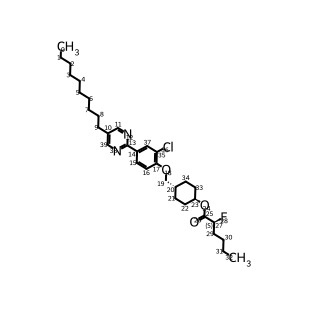 CCCCCCCCCCc1cnc(-c2ccc(OC[C@H]3CC[C@H](OC(=O)[C@@H](F)CCCC)CC3)c(Cl)c2)nc1